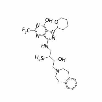 Oc1nc(C(F)(F)F)nc2c(NCC([SiH3])[C@H](O)CN3CCc4ccccc4CC3)nn(C3CCCCO3)c12